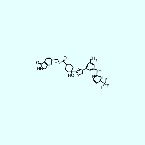 Cc1cc(Nc2nccc(C(F)(F)F)n2)cc(-c2cnc(C3(O)CCC(C(=O)NCc4ccc5c(c4)CNC5=O)CC3)s2)c1